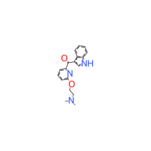 CN(C)CCOc1cccc(C(=O)c2c[nH]c3ccccc23)n1